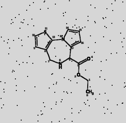 CCOC(=O)C1NCc2ccsc2-n2cccc21